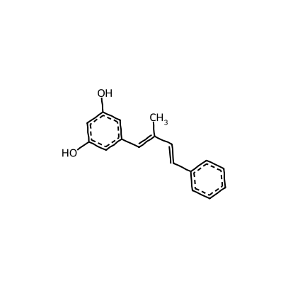 CC(C=Cc1ccccc1)=Cc1cc(O)cc(O)c1